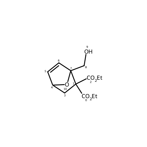 CCOC(=O)C1(C(=O)OCC)CC2C=CC1(CO)O2